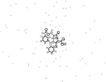 CC(=O)OC(C)C1C(=O)N2C(C(=O)O)=C(Sc3ccccc3)C(Cc3ccccc3)C12